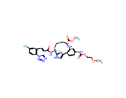 COCCOC(=O)Nc1ccc2c(c1)N[C@@H](C(=O)OC)CCCC[C@H](NC(=O)/C=C/c1cc(Cl)ccc1-n1cnnn1)c1nc-2c[nH]1